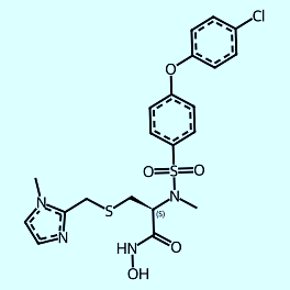 CN([C@H](CSCc1nccn1C)C(=O)NO)S(=O)(=O)c1ccc(Oc2ccc(Cl)cc2)cc1